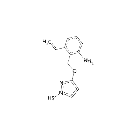 C=Cc1cccc(N)c1COc1ccn(S)n1